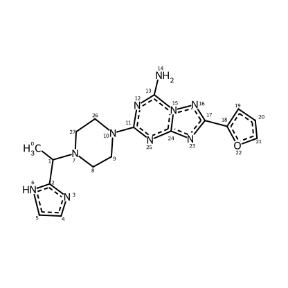 CC(c1ncc[nH]1)N1CCN(c2nc(N)n3nc(-c4ccco4)nc3n2)CC1